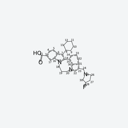 O=C(O)c1ccc2c(C3CCCCC3)c3n(c2c1)CCCn1cc(CN2CC[C@@H](F)C2)c2cccc-3c21